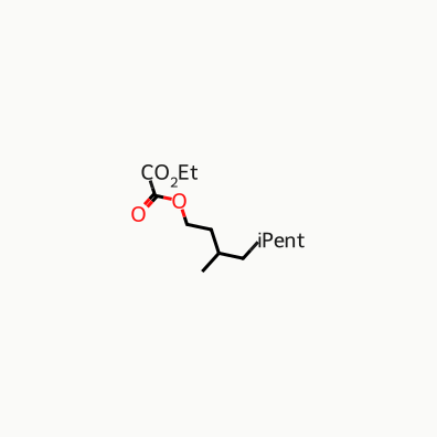 CCCC(C)CC(C)CCOC(=O)C(=O)OCC